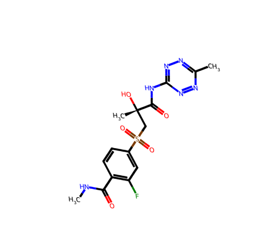 CNC(=O)c1ccc(S(=O)(=O)C[C@](C)(O)C(=O)Nc2nnc(C)nn2)cc1F